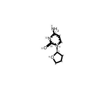 Nc1ccn([C@H]2CCCO2)c(=O)n1